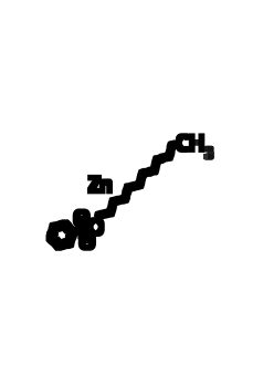 CCCCCCCCCCCCOS(=O)(=O)c1ccccc1.[Zn]